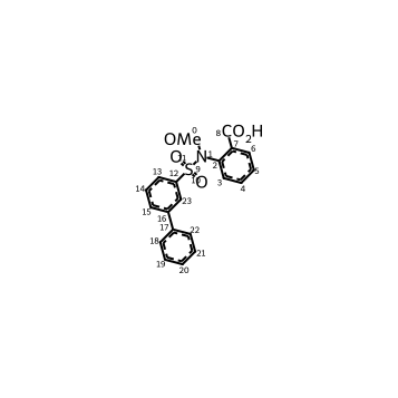 CON(c1ccccc1C(=O)O)S(=O)(=O)c1cccc(-c2ccccc2)c1